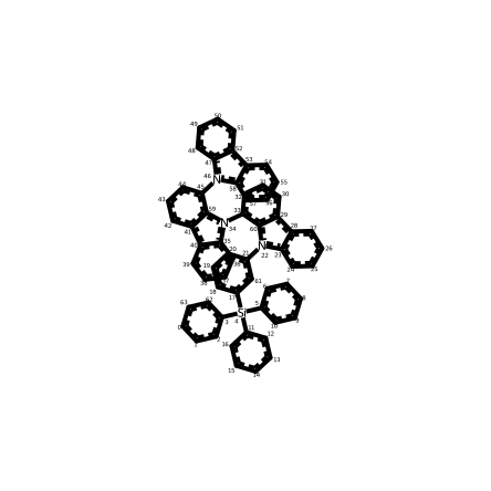 c1ccc([Si](c2ccccc2)(c2ccccc2)c2cccc(-n3c4ccccc4c4cccc(-n5c6ccccc6c6cccc(-n7c8ccccc8c8ccccc87)c65)c43)c2)cc1